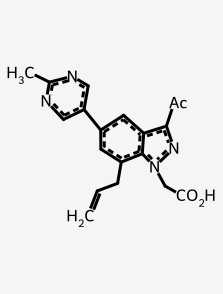 C=CCc1cc(-c2cnc(C)nc2)cc2c(C(C)=O)nn(CC(=O)O)c12